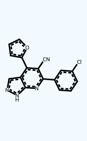 N#Cc1c(-c2cccc(Cl)c2)nc2[nH]ncc2c1-c1ccco1